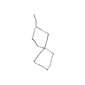 CC1CC2(CCC2)C1